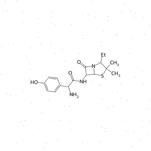 CCC1N2C(=O)C(NC(=O)C(N)c3ccc(O)cc3)C2SC1(C)C